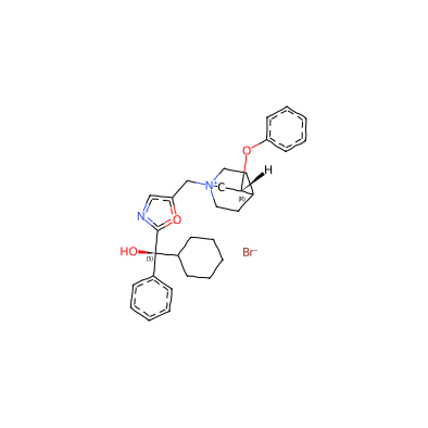 O[C@@](c1ccccc1)(c1ncc(C[N+]23CCC(CC2)[C@@H](Oc2ccccc2)C3)o1)C1CCCCC1.[Br-]